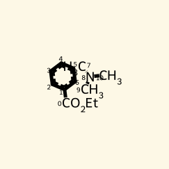 CCOC(=O)c1ccccc1.CN(C)C